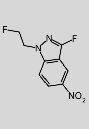 O=[N+]([O-])c1ccc2c(c1)c(F)nn2CCF